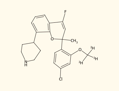 [2H]C([2H])([2H])Oc1cc(Cl)ccc1C1(C)C=C(F)c2cccc(C3CCNCC3)c2O1